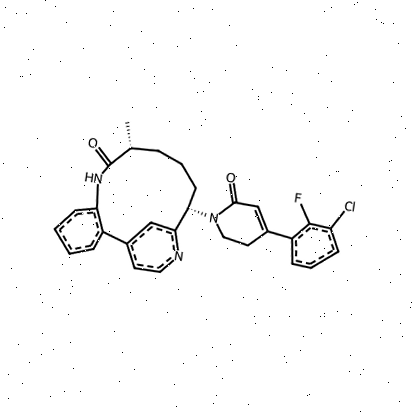 C[C@@H]1CCC[C@H](N2CCC(c3cccc(Cl)c3F)=CC2=O)c2cc(ccn2)-c2ccccc2NC1=O